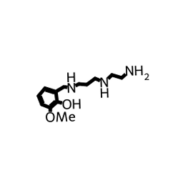 COc1cccc(CNCCCNCCN)c1O